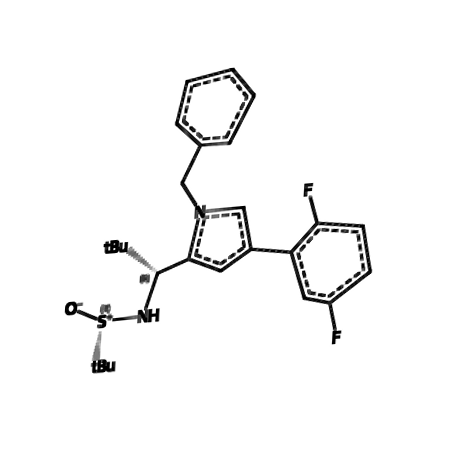 CC(C)(C)[C@@H](N[S@@+]([O-])C(C)(C)C)c1cc(-c2cc(F)ccc2F)cn1Cc1ccccc1